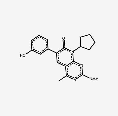 CNc1nc(C)c2cc(-c3cccc(O)c3)c(=O)n(C3CCCC3)c2n1